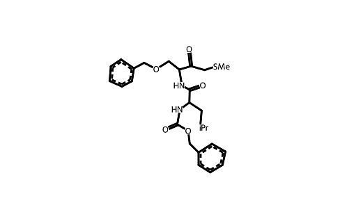 CSCC(=O)C(COCc1ccccc1)NC(=O)C(CC(C)C)NC(=O)OCc1ccccc1